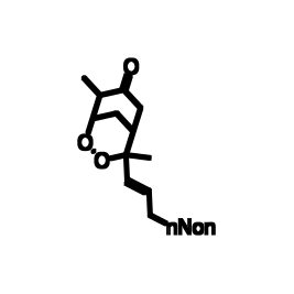 CCCCCCCCCC/C=C/C1(C)OOC2CC1CC(=O)C2C